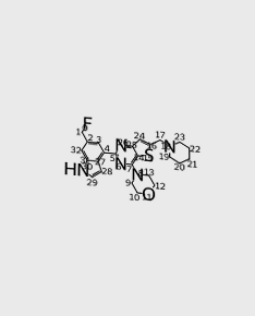 FCc1cc(-c2nc(N3CCOCC3)c3sc(CN4CCCCC4)cc3n2)c2cc[nH]c2c1